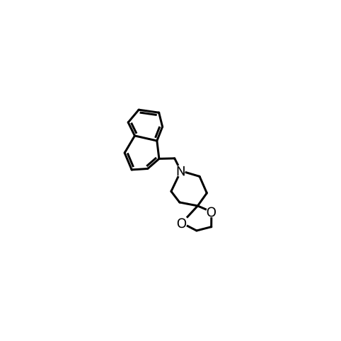 c1ccc2c(CN3CCC4(CC3)OCCO4)cccc2c1